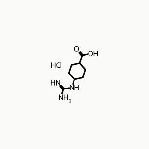 Cl.N=C(N)NC1CCC(C(=O)O)CC1